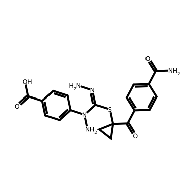 N/N=C(/SC1(C(=O)c2ccc(C(N)=O)cc2)CC1)N(N)c1ccc(C(=O)O)cc1